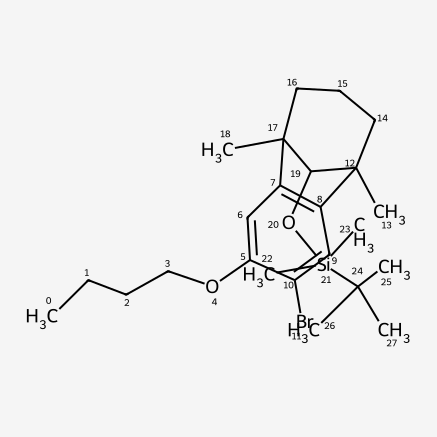 CCCCOc1cc2c(cc1Br)C1(C)CCCC2(C)C1O[Si](C)(C)C(C)(C)C